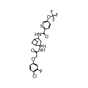 O=C(COc1ccc(Cl)c(F)c1)N[C@H]1CC(NC(=O)c2ccc(OC(F)(F)F)cn2)C2CC1C2